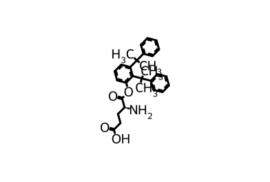 CC(C)(c1ccccc1)c1cccc(OC(=O)[C@@H](N)CCC(=O)O)c1C(C)(C)c1ccccc1